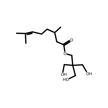 CC(C)=CCCC(C)CC(=O)OCC(CO)(CO)CO